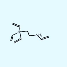 C=C[SiH2]CC[Si](C=C)(C=C)C=C